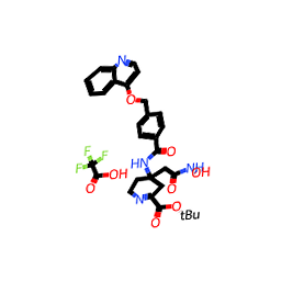 CC(C)(C)OC(=O)C1=NCCC(CC(=O)NO)(NC(=O)c2ccc(COc3ccnc4ccccc34)cc2)C1.O=C(O)C(F)(F)F